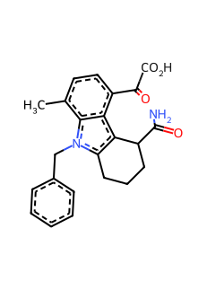 Cc1ccc(C(=O)C(=O)O)c2c3c(n(Cc4ccccc4)c12)CCCC3C(N)=O